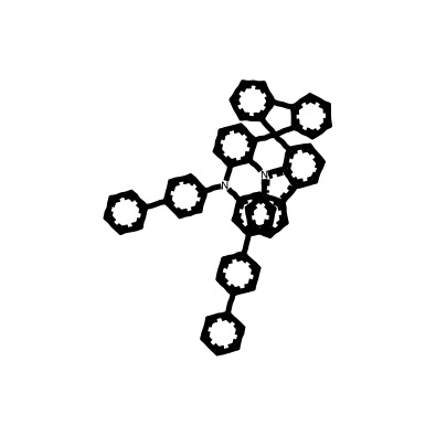 c1ccc(-c2ccc(-c3cccc(N(c4ccc(-c5ccccc5)cc4)c4cccc5c4-n4c6ccccc6c6cccc(c64)C54c5ccccc5-c5ccccc54)c3)cc2)cc1